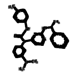 Cc1ccc(NC(=O)N(c2cccc(N(C)C)c2)c2ccnc(N[C@@H](C)c3ccccc3)n2)cc1